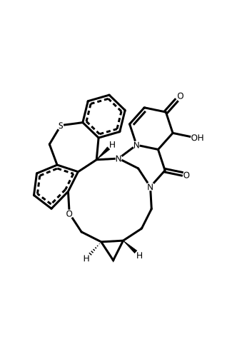 O=C1C=CN2C(C(=O)N3CC[C@@H]4C[C@H]4COc4cccc5c4[C@H](c4ccccc4SC5)N2C3)C1O